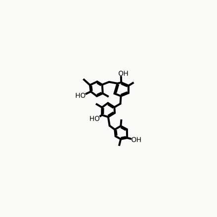 Cc1cc(Cc2cc(Cc3cc(C)c(O)c(Cc4cc(C)c(O)cc4C)c3)cc(C)c2O)c(C)cc1O